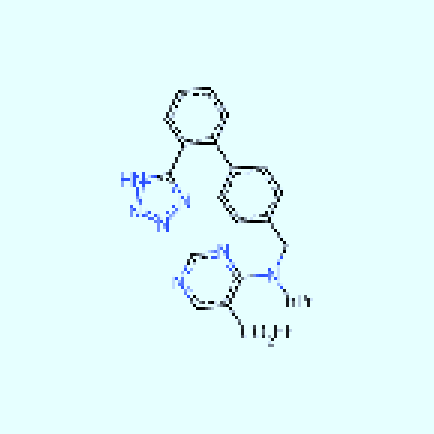 CCCN(Cc1ccc(-c2ccccc2-c2nnn[nH]2)cc1)c1ncncc1C(=O)OCC